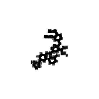 COc1ccc(CC(=O)N(C(=N)N)[C@H](CC2CCCCC2)C(=O)NCc2ccc(-c3nnn[nH]3)cc2)cc1OC